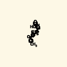 CC1CCN(C(=O)c2ccc(-c3cc(-c4ccnc(C5(O)CCOCC5)c4)cs3)c(Cl)c2)CC1